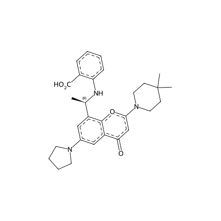 C[C@@H](Nc1ccccc1C(=O)O)c1cc(N2CCCC2)cc2c(=O)cc(N3CCC(C)(C)CC3)oc12